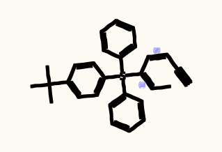 C#C/C=C\C(=C/C)S(c1ccccc1)(c1ccccc1)c1ccc(C(C)(C)C)cc1